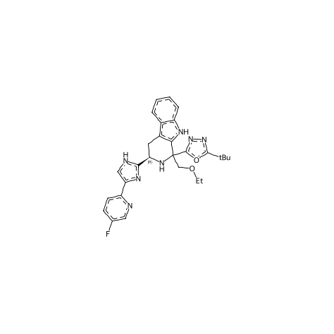 CCOCC1(c2nnc(C(C)(C)C)o2)N[C@@H](c2nc(-c3ccc(F)cn3)c[nH]2)Cc2c1[nH]c1ccccc21